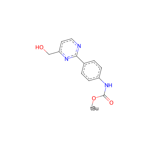 CC(C)(C)OC(=O)Nc1ccc(-c2nccc(CO)n2)cc1